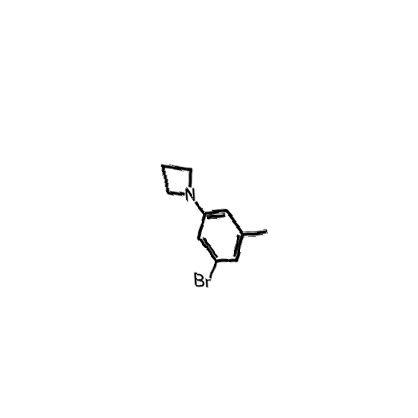 Cc1cc(Br)cc(N2CCC2)c1